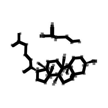 CC(C)CCCC(C)[C@H]1CC[C@H]2[C@@H]3CC=C4C[C@@H](O)CC[C@]4(C)[C@H]3CC[C@]12C.CCCOC(=O)O